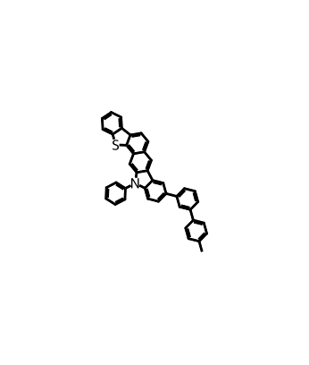 Cc1ccc(-c2cccc(-c3ccc4c(c3)c3cc5ccc6c7ccccc7sc6c5cc3n4-c3ccccc3)c2)cc1